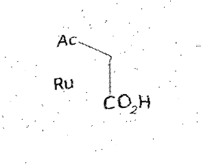 CC(=O)CC(=O)O.[Ru]